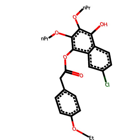 CCCOc1c(OCCC)c(OC(=O)Cc2ccc(OCC)cc2)c2cc(Cl)ccc2c1O